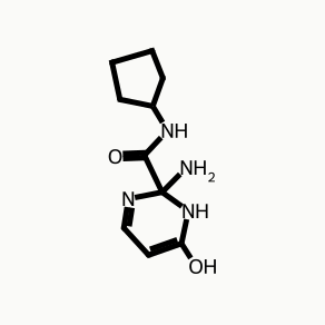 NC1(C(=O)NC2CCCC2)N=CC=C(O)N1